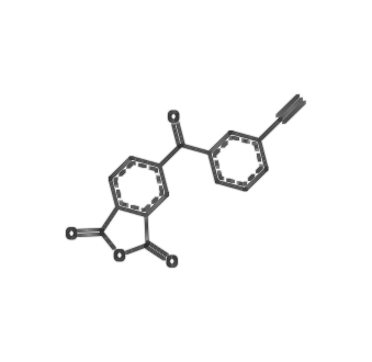 C#Cc1cccc(C(=O)c2ccc3c(c2)C(=O)OC3=O)c1